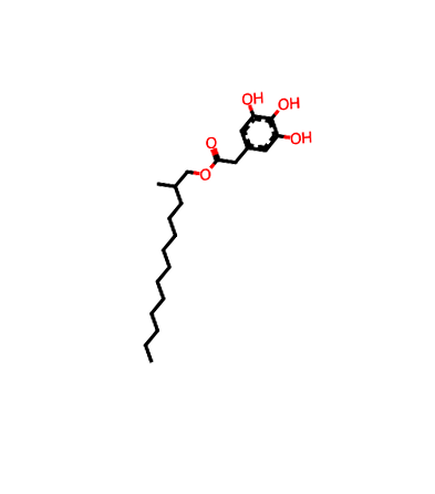 CCCCCCCCCCCC(C)COC(=O)Cc1cc(O)c(O)c(O)c1